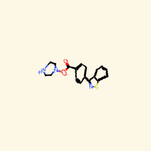 O=C(ON1CCNCC1)c1ccc(-c2nsc3ccccc23)cc1